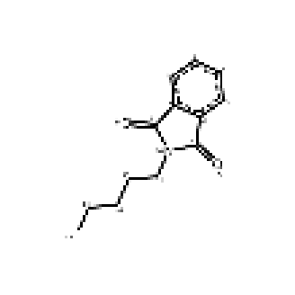 O=C1c2ccccc2C(=O)N1CCCCI